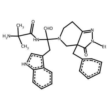 CCN1N=C2CCN(C(C=O)(Cc3c[nH]c4ccccc34)NC(=O)C(C)(C)N)CC2(Cc2ccccc2)C1=O